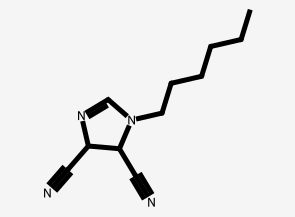 CCCCCCN1C=NC(C#N)C1C#N